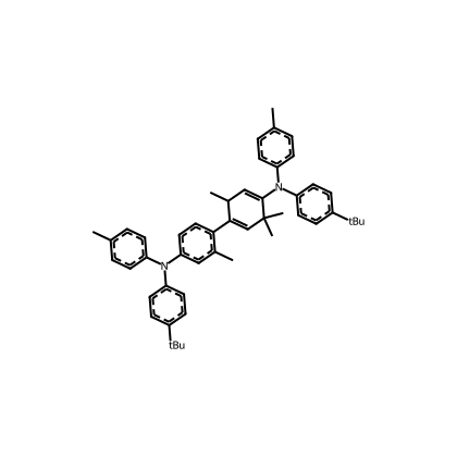 Cc1ccc(N(C2=CC(C)C(c3ccc(N(c4ccc(C)cc4)c4ccc(C(C)(C)C)cc4)cc3C)=CC2(C)C)c2ccc(C(C)(C)C)cc2)cc1